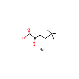 CC(C)(C)CCC(=O)C(=O)[O-].[Na+]